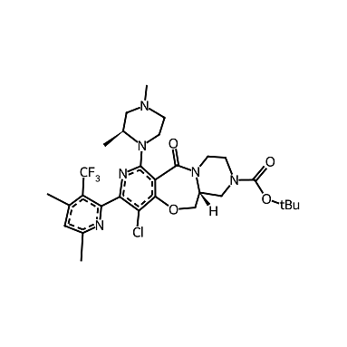 Cc1cc(C)c(C(F)(F)F)c(-c2nc(N3CCN(C)C[C@@H]3C)c3c(c2Cl)OC[C@H]2CN(C(=O)OC(C)(C)C)CCN2C3=O)n1